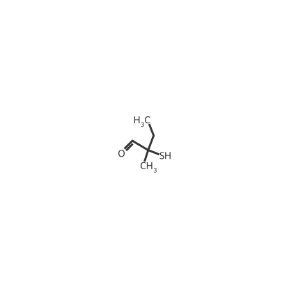 CCC(C)(S)C=O